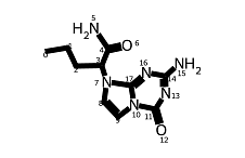 CCCC(C(N)=O)n1ccn2c(=O)nc(N)nc12